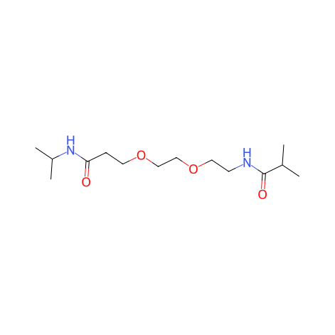 CC(C)NC(=O)CCOCCOCCNC(=O)C(C)C